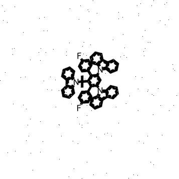 CC(C)(c1c(-c2ccc(F)cc2)c(-n2c3ccccc3c3ccccc32)cc(-n2c3ccccc3c3ccccc32)c1-c1ccc(F)cc1)n1c2ccccc2c2ccccc21